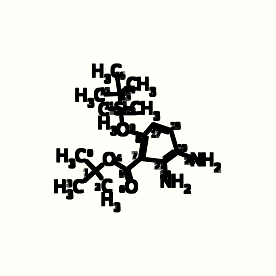 CC(C)(C)OC(=O)c1c(O[Si](C)(C)C(C)(C)C)ccc(N)c1N